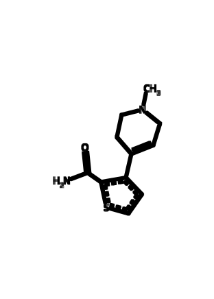 CN1CC=C(c2ccsc2C(N)=O)CC1